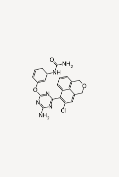 NC(=O)NC1C=C(Oc2nc(N)nc(-c3c(Cl)cc4c5c(cccc35)COC4)n2)C=CC1